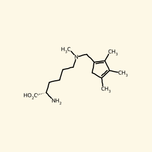 CC1=C(C)C(C)=C(CN(C)CCCC[C@H](N)C(=O)O)C1